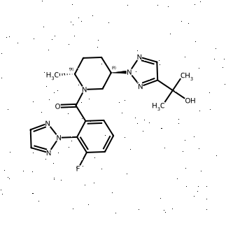 C[C@@H]1CC[C@@H](n2ncc(C(C)(C)O)n2)CN1C(=O)c1cccc(F)c1-n1nccn1